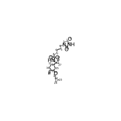 O=C1CN(C/C=C/CCS(=O)(=O)NC2(c3ccc(F)c(OCC4CC4)c3)CC2)C(=O)N1